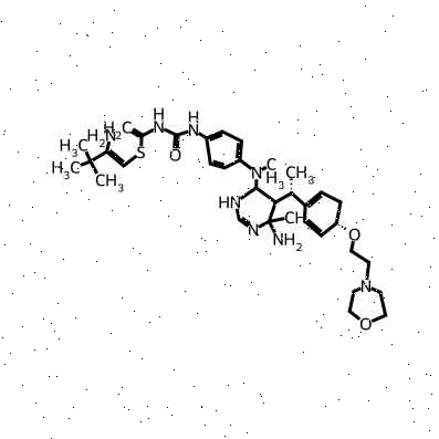 C=C(NC(=O)Nc1ccc(N(C)C2NC=NC(C)(N)C2[C@H](C)C2=CC[C@H](OCCN3CCOCC3)C=C2)cc1)S/C=C(\N)C(C)(C)C